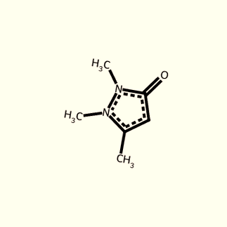 Cc1cc(=O)n(C)n1C